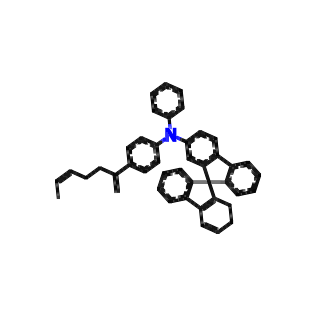 C=C(CC/C=C\C)c1ccc(N(c2ccccc2)c2ccc3c(c2)C2(C4=C(C=CCC4)c4ccccc42)c2ccccc2-3)cc1